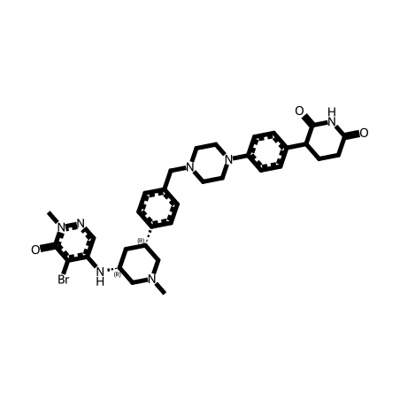 CN1C[C@H](Nc2cnn(C)c(=O)c2Br)C[C@H](c2ccc(CN3CCN(c4ccc(C5CCC(=O)NC5=O)cc4)CC3)cc2)C1